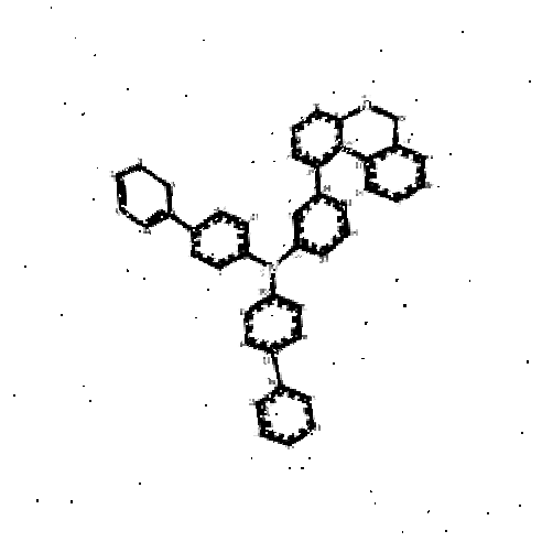 C1=CCCC(c2ccc(N(c3ccc(-c4ccccc4)cc3)c3cccc(-c4cccc5c4-c4ccccc4CO5)c3)cc2)=C1